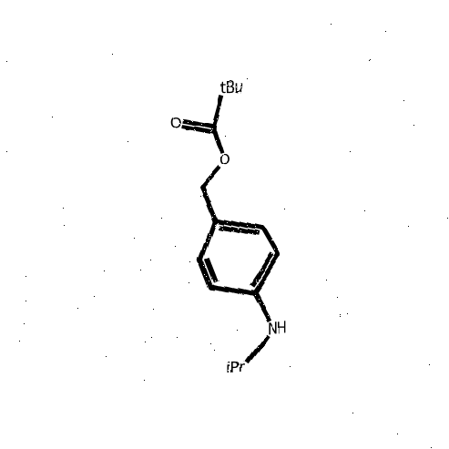 CC(C)Nc1ccc(COC(=O)C(C)(C)C)cc1